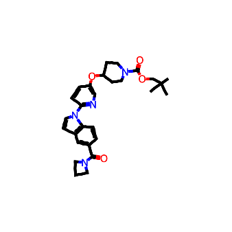 CC(C)(C)COC(=O)N1CCC(Oc2ccc(-n3ccc4cc(C(=O)N5CCC5)ccc43)nc2)CC1